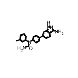 Cc1cccc(N(C(N)=O)c2ccc(-c3ccc4c(N)n[nH]c4c3)cc2)c1